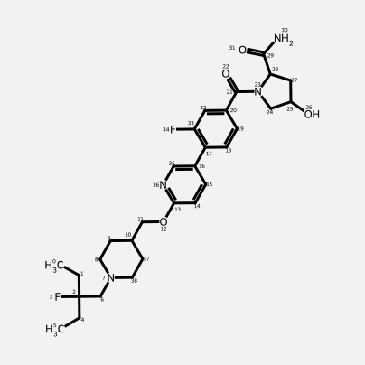 CCC(F)(CC)CN1CCC(COc2ccc(-c3ccc(C(=O)N4CC(O)CC4C(N)=O)cc3F)cn2)CC1